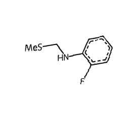 CSCNc1ccccc1F